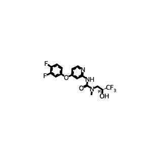 CN(C[C@@H](O)C(F)(F)F)C(=O)Nc1cc(Oc2ccc(F)c(F)c2)ccn1